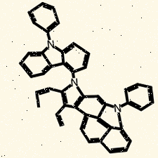 C=Cc1c(/C=C\C)n(-c2cccc3c2c2ccccc2n3-c2ccccc2)c2cc3c4c(ccc5cccc(c54)n3-c3ccccc3)c12